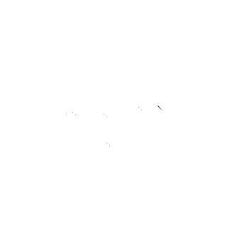 O=C([C@H]1CCCO1)N1CCn2c(nc(-c3ccc(F)cc3)c2Nc2ccc(Cl)c(F)c2)C1